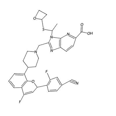 CC(SC1CCO1)n1c(CN2CCC(c3cccc4c3OC(c3ccc(C#N)cc3F)C=C4F)CC2)nc2ccc(C(=O)O)nc21